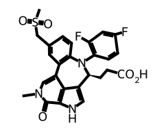 Cn1cc2c3c(c[nH]c3c1=O)[C@H](CCC(=O)O)N(c1ccc(F)cc1F)c1ccc(CS(C)(=O)=O)cc1-2